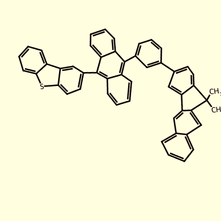 CC1(C)c2ccc(-c3cccc(-c4c5ccccc5c(-c5ccc6sc7ccccc7c6c5)c5ccccc45)c3)cc2-c2cc3ccccc3cc21